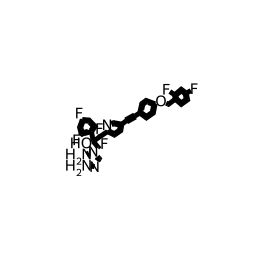 N/N=C\N(N)CC(O)(c1ccc(F)cc1F)C(F)(F)c1ccc(C#Cc2ccc(OCc3ccc(F)cc3F)cc2)cn1